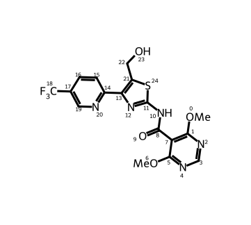 COc1ncnc(OC)c1C(=O)Nc1nc(-c2ccc(C(F)(F)F)cn2)c(CO)s1